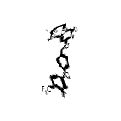 C[C@@H]1CCn2c(cc(OCc3ccc(Oc4ccc(C(F)(F)F)c(F)c4)cc3)nc2=O)N1C